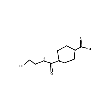 O=C(O)N1CCN(C(=O)NCCO)CC1